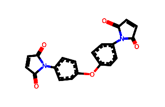 O=C1C=CC(=O)N1c1ccc(Oc2ccc(N3C(=O)C=CC3=O)cc2)cc1